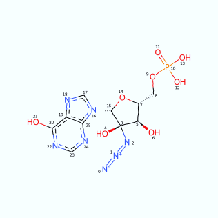 [N-]=[N+]=N[C@@]1(O)[C@H](O)[C@@H](COP(=O)(O)O)O[C@H]1n1cnc2c(O)ncnc21